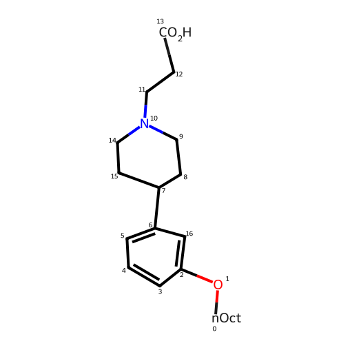 CCCCCCCCOc1cccc(C2CCN(CCC(=O)O)CC2)c1